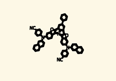 N#Cc1ccc(N(c2ccc3ccccc3c2)c2ccc3c(c2)oc2c4cc(-c5ccccc5)cc5c6oc7cc(N(c8ccc(C#N)cc8)c8ccc9ccccc9c8)ccc7c6n(c45)c32)cc1